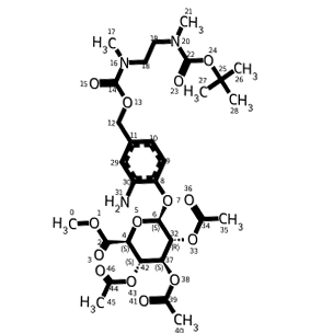 COC(=O)[C@H]1O[C@@H](Oc2ccc(COC(=O)N(C)CCN(C)C(=O)OC(C)(C)C)cc2N)[C@H](OC(C)=O)[C@@H](OC(C)=O)[C@@H]1OC(C)=O